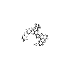 CN1CCC(CN2CCN(Cc3ccc(C(=O)NN(c4nc(C#N)ncc4Cl)C4CCOCC4)cc3)CC2)CC1.O=C(O)C(F)(F)F